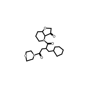 O=C1COC2CCCN(C(=O)C(CC(=O)N3CCOCC3)CC3CCCCC3)C12